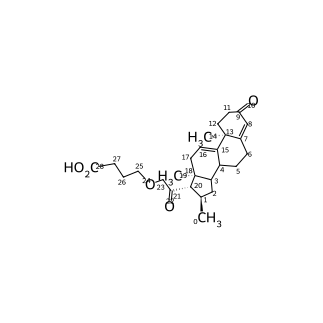 C[C@@H]1CC2C3CCC4=CC(=O)CC[C@]4(C)C3=CC[C@]2(C)[C@H]1C(=O)COCCCC(=O)O